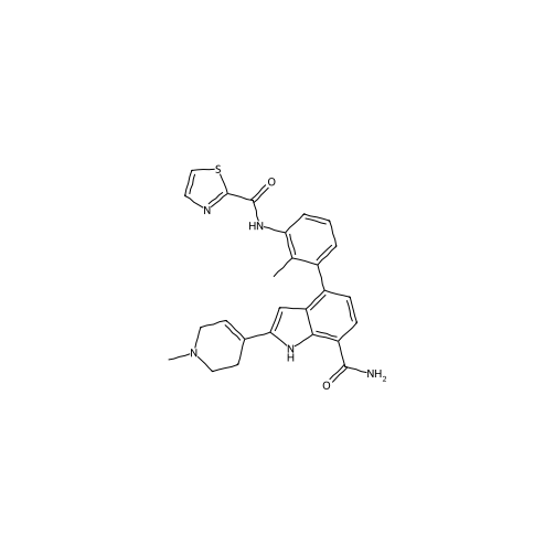 Cc1c(NC(=O)c2nccs2)cccc1-c1ccc(C(N)=O)c2[nH]c(C3=CCN(C)CC3)cc12